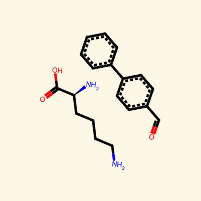 NCCCC[C@H](N)C(=O)O.O=Cc1ccc(-c2ccccc2)cc1